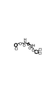 O=C(COCc1cccc(Cl)c1)NC12CC(NC(=O)COc3ccc(Cl)c(Cl)c3)(C1)C2